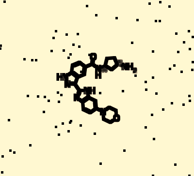 N[C@H]1CC[C@H](NC(=O)c2ccc3[nH]nc(-c4nc5ccc(N6CCOCC6)cc5[nH]4)c3c2)C1